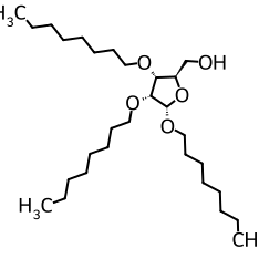 CCCCCCCCO[C@H]1O[C@H](CO)[C@@H](OCCCCCCCC)[C@H]1OCCCCCCCC